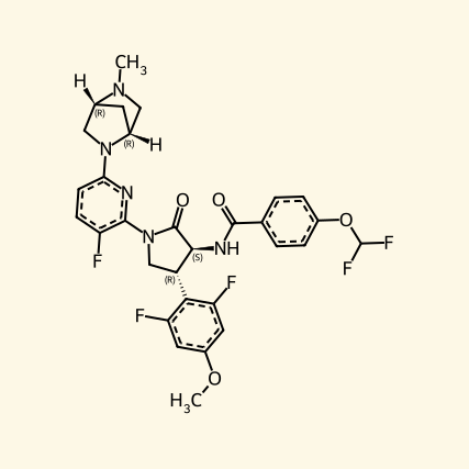 COc1cc(F)c([C@@H]2CN(c3nc(N4C[C@H]5C[C@@H]4CN5C)ccc3F)C(=O)[C@H]2NC(=O)c2ccc(OC(F)F)cc2)c(F)c1